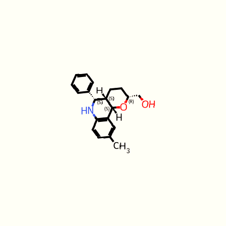 Cc1ccc2c(c1)[C@H]1O[C@@H](CO)CC[C@H]1[C@@H](c1ccccc1)N2